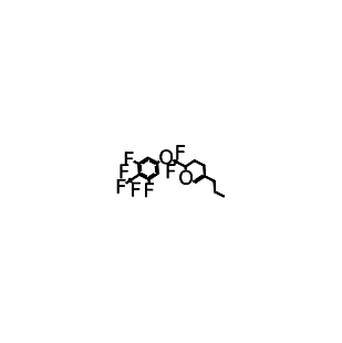 CCCC1=COC(C(F)(F)Oc2cc(F)c(C(F)(F)F)c(F)c2)CC1